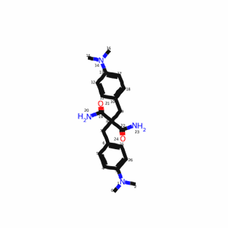 CN(C)c1ccc(CC(Cc2ccc(N(C)C)cc2)(C(N)=O)C(N)=O)cc1